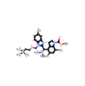 COc1cc(C)c2c(ccn2C(=O)OC(C)(C)C)c1C(c1nc2cc(C#N)ccc2n1COCC[Si](C)(C)C)N(C)C